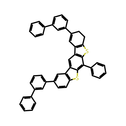 C1=C(c2cccc(-c3ccccc3)c2)CCc2sc3c(-c4ccccc4)c4sc5ccc(-c6cccc(-c7ccccc7)c6)cc5c4cc3c21